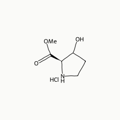 COC(=O)[C@@H]1NCCC1O.Cl